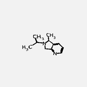 CC(C)N1Cc2ncccc2C1C